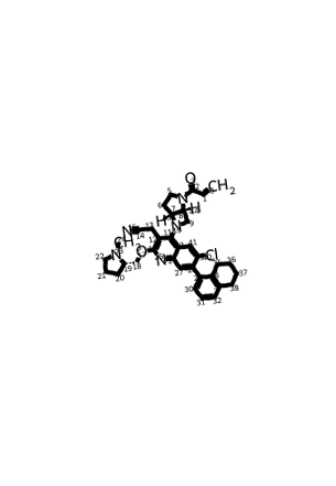 C=CC(=O)N1CC[C@@H]2[C@H]1CN2c1c(CC#N)c(OC[C@@H]2CCCN2C)nc2cc(-c3cccc4c3CCCC4)c(Cl)cc12